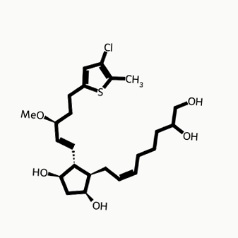 CO[C@H](/C=C/[C@@H]1[C@@H](C/C=C\CCCC(O)CO)[C@@H](O)C[C@H]1O)CCc1cc(Cl)c(C)s1